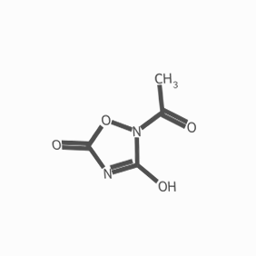 CC(=O)n1oc(=O)nc1O